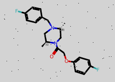 C[C@@H]1CN(C(=O)COc2ccc(F)cc2)[C@@H](C)CN1Cc1ccc(F)cc1